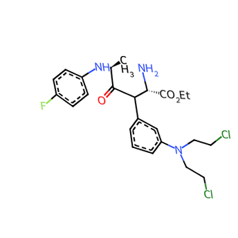 CCOC(=O)[C@@H](N)C(C(=O)[C@H](C)Nc1ccc(F)cc1)c1cccc(N(CCCl)CCCl)c1